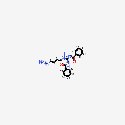 [N-]=[N+]=NCCCCN/C(=N/C(=O)c1ccccc1)NC(=O)c1ccccc1